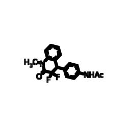 CC(=O)Nc1ccc(C2c3ccccc3N(C)C(=O)C2(F)F)cc1